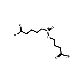 O=C(O)CCCO[PH](=O)OCCCC(=O)O